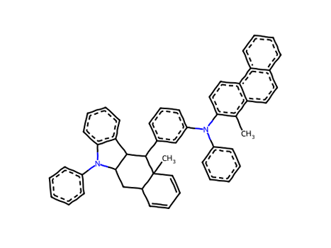 Cc1c(N(c2ccccc2)c2cccc(C3C4c5ccccc5N(c5ccccc5)C4CC4C=CC=CC43C)c2)ccc2c1ccc1ccccc12